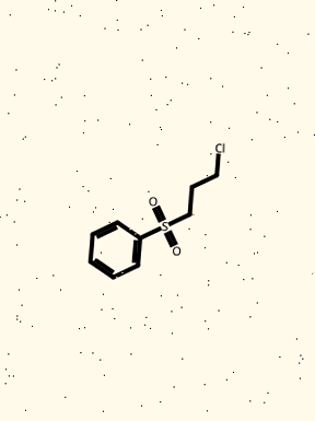 O=S(=O)([CH]CCCl)c1ccccc1